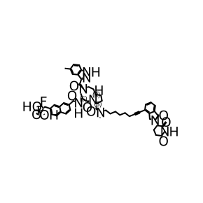 Cc1ccc2[nH]nc(C(=O)N3CC[C@H]4CC[C@@H](C(=O)N(C)CCCCCCC#Cc5cccc6c5CN(C5CCC(=O)NC5=O)C6=O)N4C(=O)[C@@H](NC(=O)c4ccc5ccc(C(F)P(=O)(O)O)cc5c4)C3)c2c1